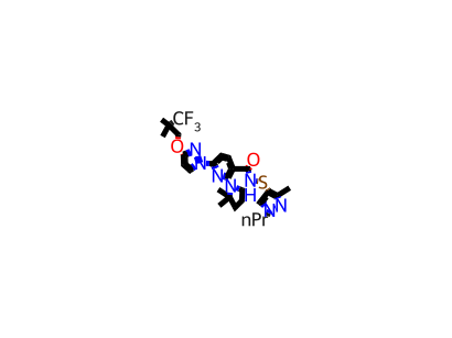 CCCn1cc(SNC(=O)c2ccc(-n3ccc(OCC(C)(C)C(F)(F)F)n3)nc2N2CCCC2(C)C)c(C)n1